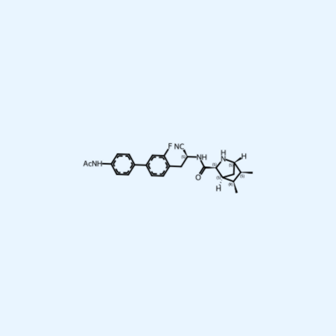 CC(=O)Nc1ccc(-c2ccc(C[C@@H](C#N)NC(=O)[C@H]3N[C@H]4C[C@H]3[C@H](C)[C@@H]4C)c(F)c2)cc1